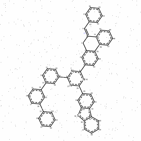 C(=C1\Cc2cc(-c3nc(-c4cccc(-c5cccc(-c6ccccc6)c5)c4)nc(-c4ccc5c(c4)sc4ccccc45)n3)ccc2-c2ccccc21)/c1ccccc1